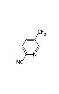 Cc1cc(C(F)(F)F)cnc1C#N